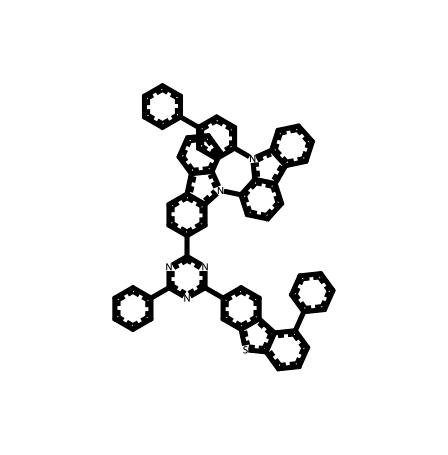 c1ccc(-c2ccc(-n3c4ccccc4c4cccc(-n5c6ccccc6c6ccc(-c7nc(-c8ccccc8)nc(-c8ccc9c(c8)sc8cccc(-c%10ccccc%10)c89)n7)cc65)c43)cc2)cc1